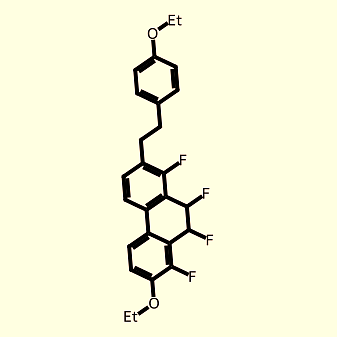 CCOc1ccc(CCc2ccc3c(c2F)C(F)C(F)c2c-3ccc(OCC)c2F)cc1